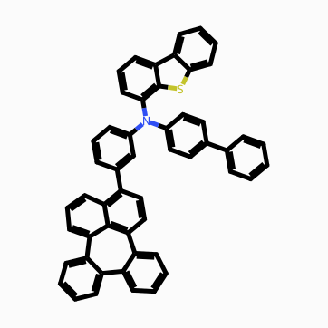 c1ccc(-c2ccc(N(c3cccc(-c4ccc5c6c(cccc46)-c4ccccc4-c4ccccc4-5)c3)c3cccc4c3sc3ccccc34)cc2)cc1